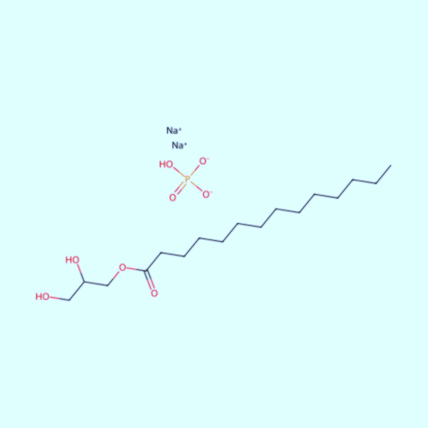 CCCCCCCCCCCCCC(=O)OCC(O)CO.O=P([O-])([O-])O.[Na+].[Na+]